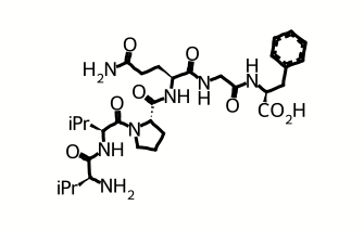 CC(C)[C@H](N)C(=O)N[C@H](C(=O)N1CCC[C@H]1C(=O)N[C@@H](CCC(N)=O)C(=O)NCC(=O)N[C@@H](Cc1ccccc1)C(=O)O)C(C)C